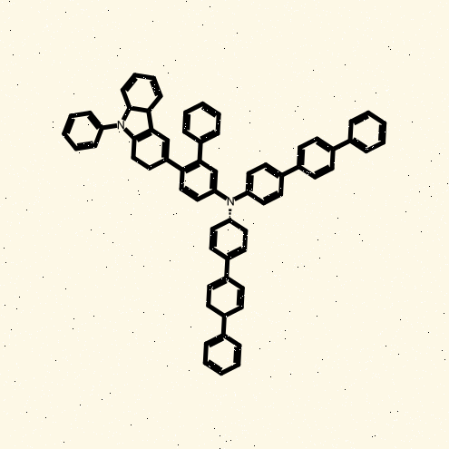 C1=CC2C3=C(CCC(c4ccc(N(c5ccc(-c6ccc(-c7ccccc7)cc6)cc5)[C@H]5C=CC(C6=CCC(c7ccccc7)C=C6)=CC5)cc4-c4ccccc4)=C3)N(c3ccccc3)C2C=C1